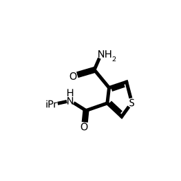 CC(C)NC(=O)c1cscc1C(N)=O